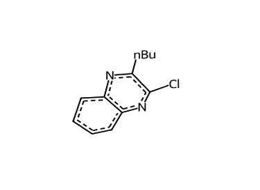 CCCCc1nc2ccccc2nc1Cl